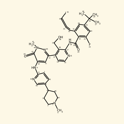 CN1CCC(c2ccc(Nc3cc(-c4ccnc(NC(=O)c5c(F)cc(C(C)(C)C)cc5C=C=CI)c4CO)nn(C)c3=O)nc2)CC1